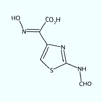 O=CNc1nc(C(=NO)C(=O)O)cs1